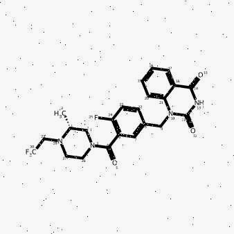 C[C@@H]1CN(C(=O)c2cc(Cn3c(=O)[nH]c(=O)c4ccccc43)ccc2F)CCN1CC(F)(F)F